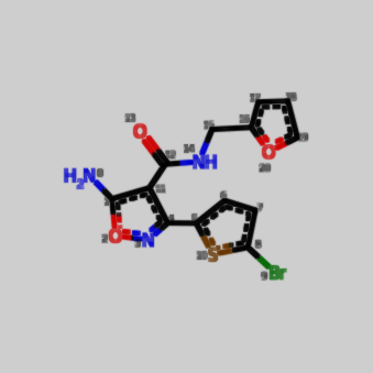 Nc1onc(-c2ccc(Br)s2)c1C(=O)NCc1ccco1